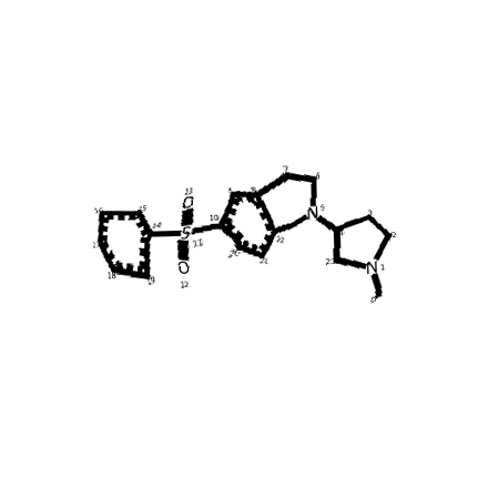 CN1CCC(N2CCc3cc(S(=O)(=O)c4ccccc4)ccc32)C1